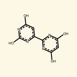 Oc1cc(-c2nc(O)cc(O)n2)nc(O)n1